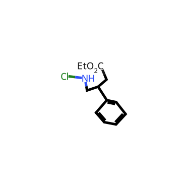 CCOC(=O)CC(CNCl)c1ccccc1